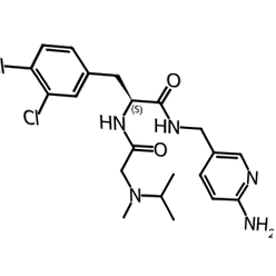 CC(C)N(C)CC(=O)N[C@@H](Cc1ccc(Cl)c(Cl)c1)C(=O)NCc1ccc(N)nc1